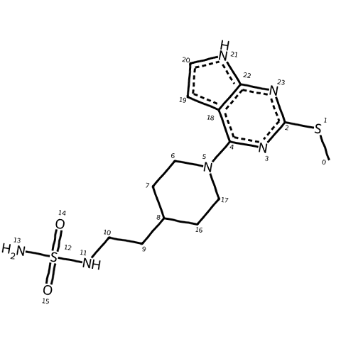 CSc1nc(N2CCC(CCNS(N)(=O)=O)CC2)c2cc[nH]c2n1